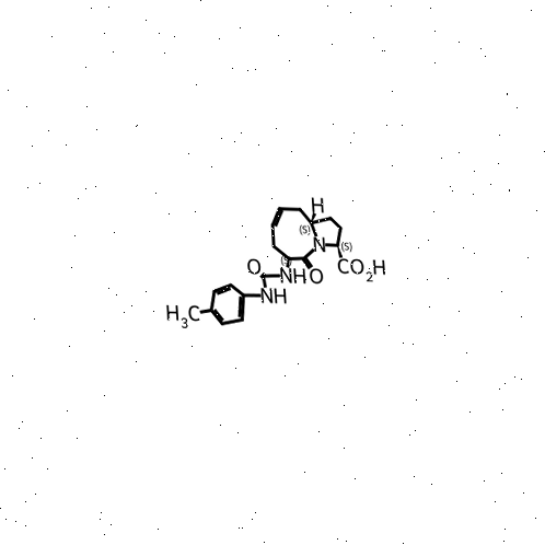 Cc1ccc(NC(=O)N[C@H]2CC=CC[C@@H]3CC[C@@H](C(=O)O)N3C2=O)cc1